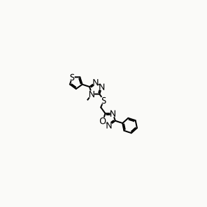 Cn1c(SCc2nc(-c3ccccc3)no2)nnc1-c1ccsc1